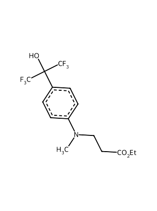 CCOC(=O)CCN(C)c1ccc(C(O)(C(F)(F)F)C(F)(F)F)cc1